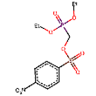 CCOP(=O)(COS(=O)(=O)c1ccc([N+](=O)[O-])cc1)OCC